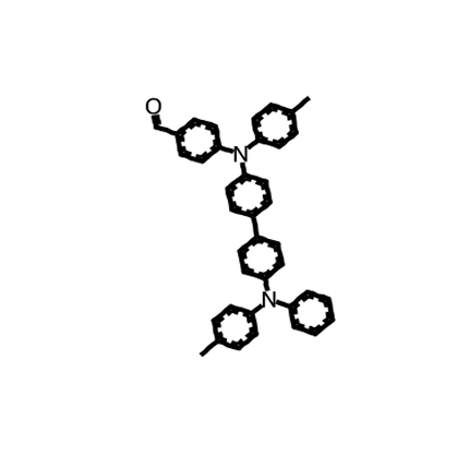 Cc1ccc(N(c2ccccc2)c2ccc(-c3ccc(N(c4ccc(C)cc4)c4ccc(C=O)cc4)cc3)cc2)cc1